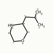 CC(C)CC1COCCN1